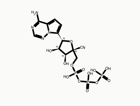 N#C[C@]1(COP(=O)(O)OP(=O)(O)OP(=O)(O)O)O[C@@H](c2ccc3c(N)ncnn23)[C@H](O)[C@@H]1O